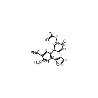 CC(=O)Cn1cc(-c2cc(C#N)c(N)nc2-c2ccco2)ccc1=O